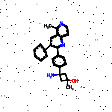 Cc1nccc2nc(-c3ccc([C@]4(N)C[C@](C)(O)C4)cc3)c(-c3ccccc3)cc12